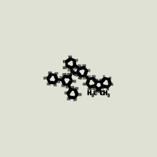 CC1(C)c2ccccc2-c2cc(-c3ccc4c5ccccc5n(-c5cc(-c6ccccc6)cc(-c6ccccc6)c5)c4c3)ccc21